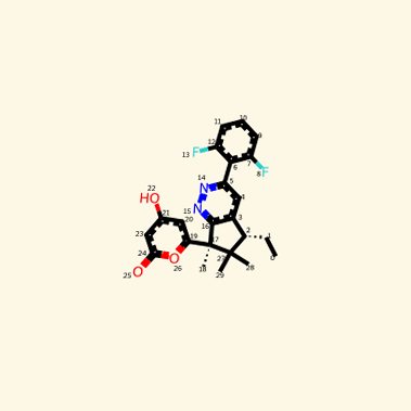 CC[C@H]1c2cc(-c3c(F)cccc3F)nnc2[C@](C)(c2cc(O)cc(=O)o2)C1(C)C